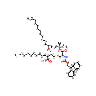 CCCCCCCCCCCCOC[C@H](CSC[C@H](NC(=O)OCC1c2ccccc2-c2ccccc21)C(=O)OC(C)(C)C)C(CCCCCCCCCC)C(=O)O